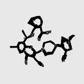 Cc1cc([C@@H](C)Nc2ccccc2C(=O)O)c2nc(N3CCN(c4cn(C)nc4C#N)CC3)c(C#N)c(=O)n2c1